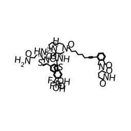 NC(=O)CC[C@H](NC(=O)[C@@H]1CC[C@@H]2CCN(C(=O)CCCCCC#Cc3cccc4c3CN(C3CCC(=O)NC3=O)C4=O)C[C@H](NC(=O)c3cc4cc(C(F)(F)P(=O)(O)O)ccc4s3)C(=O)N21)c1nc(-c2ccccc2)cs1